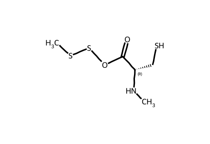 CN[C@@H](CS)C(=O)OSSC